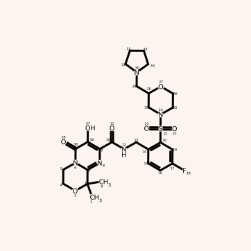 CC1(C)OCCn2c1nc(C(=O)NCc1ccc(F)cc1S(=O)(=O)N1CCOC(CN3CCCC3)C1)c(O)c2=O